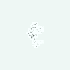 C=CC1=C(C(=O)OC(c2ccccc2)c2ccccc2)N2C(=O)C(/N=C/c3ccccc3O)[C@H]2SC1